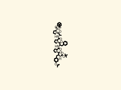 C=C(C)Oc1ccc(CC(NC(=O)OC(C)(C)C)C(=O)N2CCCC2C(=O)NC(Cc2ccccc2)C(=O)N2CCCC2C(=O)NC(C)C(=O)N2CCCC2B2OC3C4CC(C[C@]3(C)O2)C4(C)C)cc1